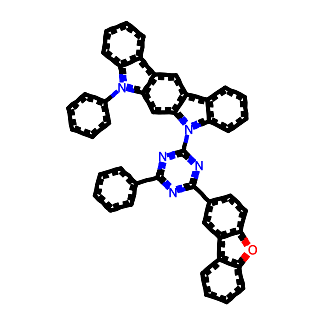 c1ccc(-c2nc(-c3ccc4oc5ccccc5c4c3)nc(-n3c4ccccc4c4cc5c6ccccc6n(-c6ccccc6)c5cc43)n2)cc1